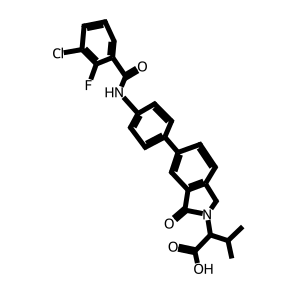 CC(C)C(C(=O)O)N1Cc2ccc(-c3ccc(NC(=O)c4cccc(Cl)c4F)cc3)cc2C1=O